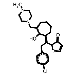 CN1CCN(CC2CCCCC(=C(Cc3ccc(Cl)cc3)C3OC=CC3=O)C2O)CC1